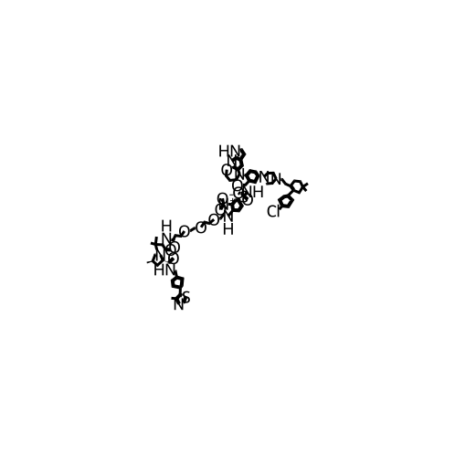 Cc1ncsc1-c1ccc(CNC(=O)[C@@H]2C[C@@H](C)CN2C(=O)[C@@H](NC(=O)CCOCCOCCOCCNc2ccc(S(=O)(=O)NC(=O)c3cc(N4CCN(CCC5=C(c6ccc(Cl)cc6)CC(C)(C)CC5)CC4)ccc3N3CCCOc4nc5[nH]ccc5cc43)cc2[N+](=O)[O-])C(C)(C)C)cc1